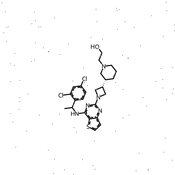 CC(Nc1nc(N2CC([C@H]3CCCN(CCO)C3)C2)nc2ccsc12)c1ccc(Cl)cc1Cl